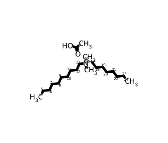 CC(=O)O.CCCCCCCCCC[N+](C)(C)CCCCCCCC